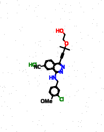 COc1ccc(CNc2nnc(C#CC(C)(C)OCCO)c3ccc(C#N)cc23)cc1Cl.Cl